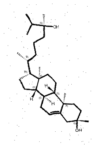 CC(C)[C@@](C)(O)CCC[C@@H](C)[C@H]1CC[C@H]2[C@@H]3CC=C4C[C@@](C)(O)CC[C@]4(C)[C@H]3CC[C@]12C